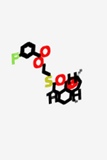 C[C@H]1[C@H](SCCCOC(=O)c2cccc(F)c2)O[C@@H]2O[C@]3(C)CC[C@H]4[C@H](C)CC[C@@H]1[C@@]24OO3